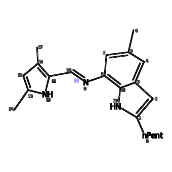 CCCCCc1cc2cc(C)cc(/N=C/c3[nH]c(C)cc3C)c2[nH]1